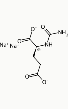 NC(=O)N[C@@H](CCC(=O)[O-])C(=O)[O-].[Na+].[Na+]